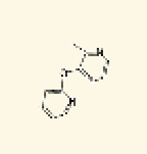 Cc1ncccc1Oc1c[c]ccn1